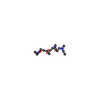 c1ccc(-c2ccc(-c3nc(-c4ccccc4)nc(-c4cccc(-c5cccc6oc7c(cc8c9ccccc9n9c%10ccc(-c%11ccc%12c(c%11)Oc%11cc(-c%13ccc(-c%14cccc%15c%14oc%14cc%16c%17cccc%18c%19ccccc%19n(c%16cc%14%15)c%18%17)cc%13)cc%13c%11B%12c%11ccccc%11O%13)cc%10c7c89)c56)c4)n3)cc2)cc1